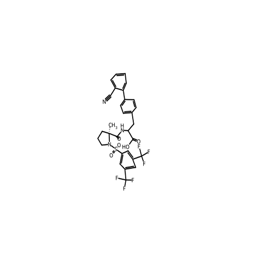 C[C@@]1(C(=O)NC(Cc2ccc(-c3ccccc3C#N)cc2)C(=O)O)CCCN1S(=O)(=O)c1cc(C(F)(F)F)cc(C(F)(F)F)c1